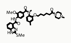 COc1cc(C(=O)N(C)c2ccc(C)cc2OCCCCCC(=O)N2CCN(C)CC2)ccc1NC(=O)c1cccc2[nH]c(SC)nc12